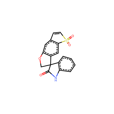 O=C1Nc2ccccc2C12COc1cc3c(cc12)S(=O)(=O)C=C3